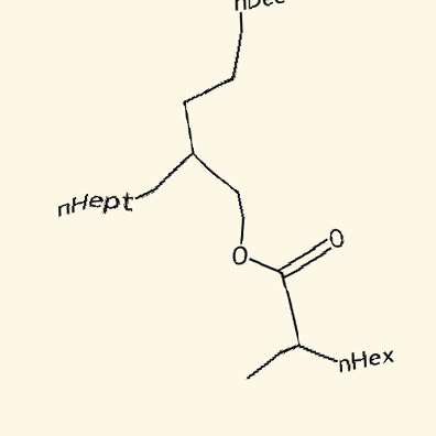 CCCCCCCCCCCCC(CCCCCCC)COC(=O)C(C)CCCCCC